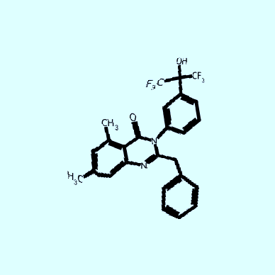 Cc1cc(C)c2c(=O)n(-c3cccc(C(O)(C(F)(F)F)C(F)(F)F)c3)c(Cc3ccccc3)nc2c1